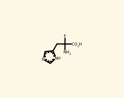 NC(F)(Cc1cnc[nH]1)C(=O)O